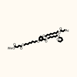 COC(=O)CCC(=O)OCCCCCCCCOc1ccc(OCCCCCCCCOC(=O)CCC(C)=O)c(C(=O)OCCCCCCOC2CCCCO2)c1